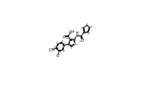 O=C(Nc1scc(-c2ccc(Cl)c(Cl)c2)c1C(=O)O)C1=CCC=C1